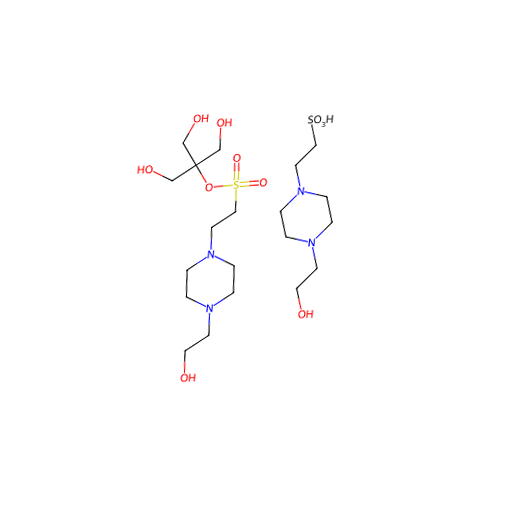 O=S(=O)(CCN1CCN(CCO)CC1)OC(CO)(CO)CO.O=S(=O)(O)CCN1CCN(CCO)CC1